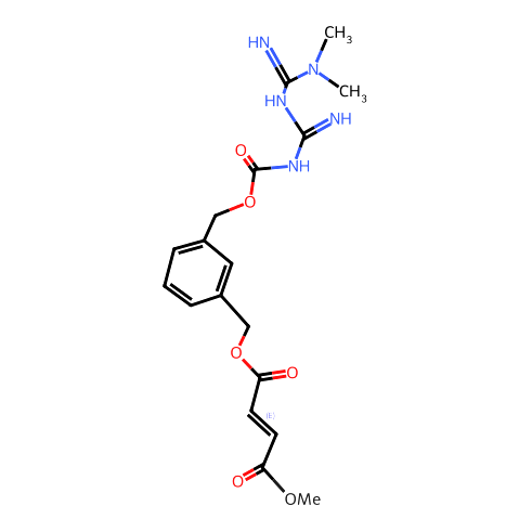 COC(=O)/C=C/C(=O)OCc1cccc(COC(=O)NC(=N)NC(=N)N(C)C)c1